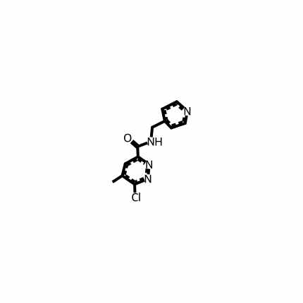 Cc1cc(C(=O)NCc2ccncc2)nnc1Cl